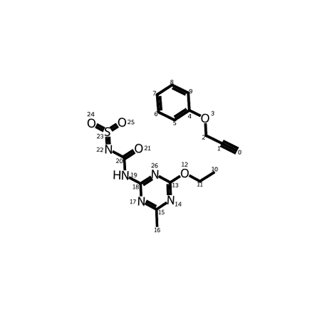 C#CCOc1ccccc1.CCOc1nc(C)nc(NC(=O)N=S(=O)=O)n1